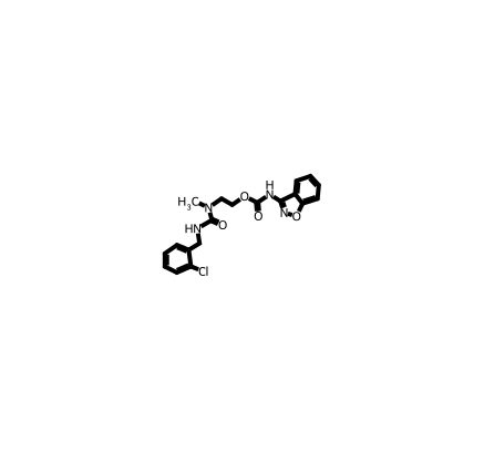 CN(CCOC(=O)Nc1noc2ccccc12)C(=O)NCc1ccccc1Cl